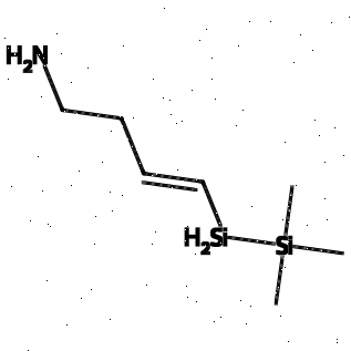 C[Si](C)(C)[SiH2]C=CCCN